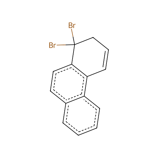 BrC1(Br)CC=Cc2c1ccc1ccccc21